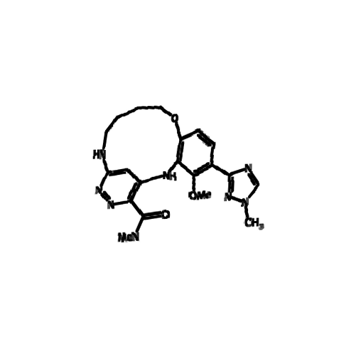 CNC(=O)c1nnc2cc1Nc1c(ccc(-c3ncn(C)n3)c1OC)OCCCCN2